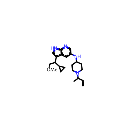 C=CC(C)N1CCC(Nc2cnc3[nH]cc(C(COC)C4CC4)c3c2)CC1